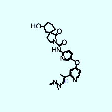 C=NN(C)/C=C(\C)c1cc(Oc2ccc(NC(=O)N3CCC4(CCCC(O)C4)C3=O)nc2)ccn1